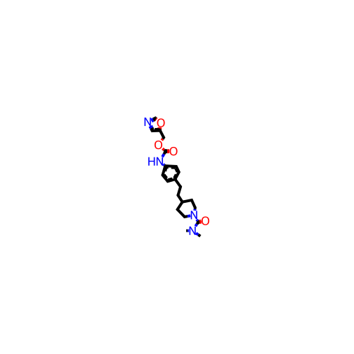 CN(C)C(=O)N1CCC(CCc2ccc(NC(=O)OCc3cnco3)cc2)CC1